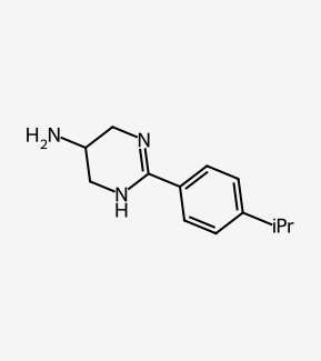 CC(C)c1ccc(C2=NCC(N)CN2)cc1